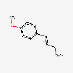 [CH2]OC/C=C/c1ccc(OC(F)(F)F)cc1